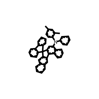 Cc1ccc(N(c2ccccc2)c2cc3c(c4ccccc24)-c2cc4ccccc4cc2C32c3ccccc3-c3ccccc32)c(C)c1